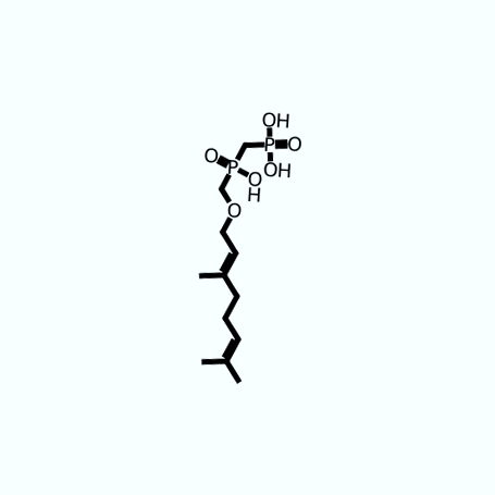 CC(C)=CCC/C(C)=C/COCP(=O)(O)CP(=O)(O)O